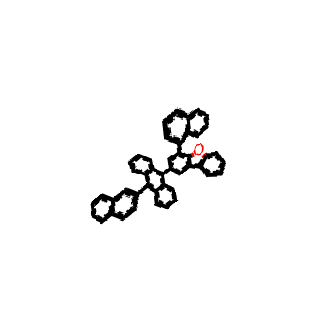 c1ccc2cc(-c3c4ccccc4c(-c4cc(-c5cccc6ccccc56)c5oc6ccccc6c5c4)c4ccccc34)ccc2c1